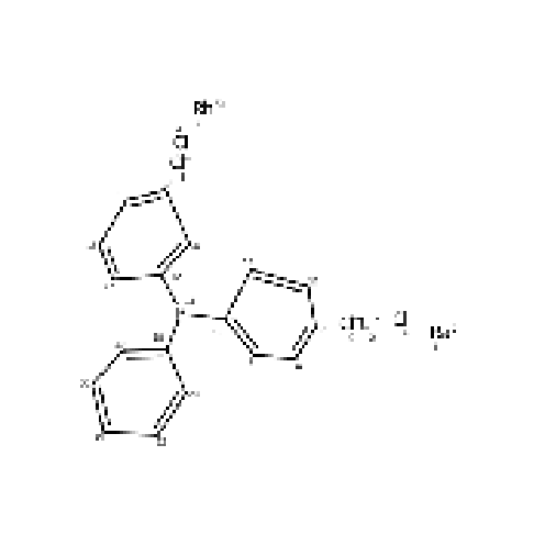 [Cl-].[Cl-].[Cl-].[Cl-].[Cl-].[Ra+2].[Rh+3].c1ccc(P(c2ccccc2)c2ccccc2)cc1